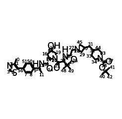 Cc1ncsc1-c1ccc(C(C)NC(=O)[C@@H]2C[C@@H](O)CN2C(=O)C(NC(=O)CN2CC(CC3CCN(C(=O)OC(C)(C)C)CC3)C2)C(C)(C)C)cc1